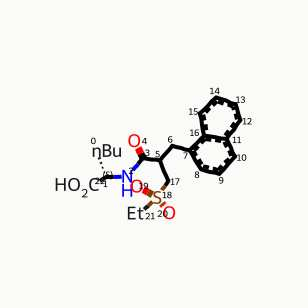 CCCC[C@H](NC(=O)C(Cc1cccc2ccccc12)CS(=O)(=O)CC)C(=O)O